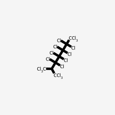 ClC(Cl)(Cl)[C](C(Cl)(Cl)Cl)C(Cl)(Cl)C(Cl)(Cl)C(Cl)(Cl)C(Cl)(Cl)C(Cl)(Cl)Cl